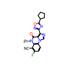 CC(C)n1c(=O)c2c(-c3noc(C4CCCC4)n3)ncn2c2ccc(F)c(C#N)c21